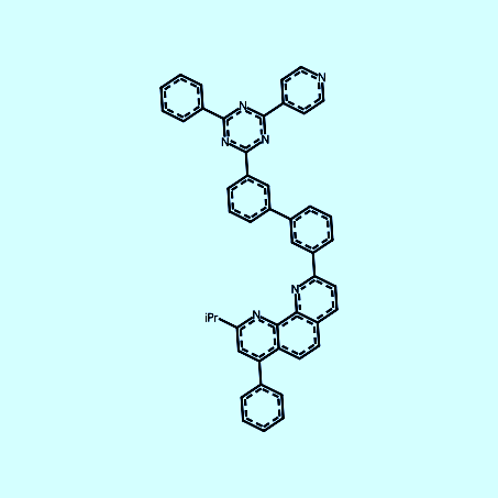 CC(C)c1cc(-c2ccccc2)c2ccc3ccc(-c4cccc(-c5cccc(-c6nc(-c7ccccc7)nc(-c7ccncc7)n6)c5)c4)nc3c2n1